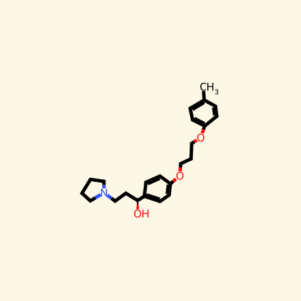 Cc1ccc(OCCCOc2ccc([C@@H](O)CCN3CCCC3)cc2)cc1